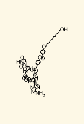 Nc1ncnc2c1ncn2[C@H]1C[C@@H]2OP(=O)(O)OC[C@H]3O[C@@H](n4ccc(=O)[nH]c4=O)C[C@@H]3OP(=O)(SCc3ccc(OC(=O)c4ccc(OCCCCCCCCCCO)cc4)cc3)OC[C@H]2O1